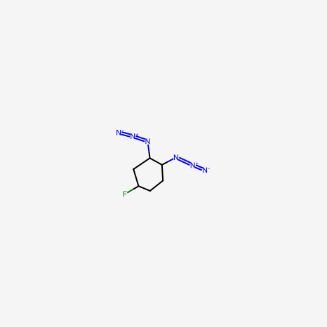 [N-]=[N+]=NC1CCC(F)CC1N=[N+]=[N-]